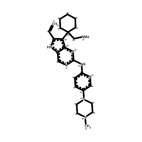 C=Cc1[nH]c2cnc(Nc3ccc(N4CCN(C)CC4)cn3)nc2c1C1(CNC)CCCCC1